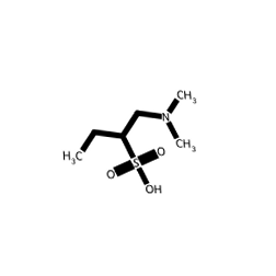 CC[C](CN(C)C)S(=O)(=O)O